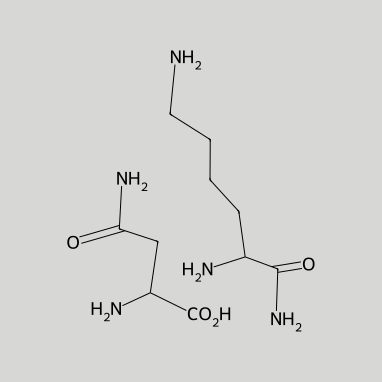 NC(=O)CC(N)C(=O)O.NCCCCC(N)C(N)=O